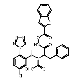 O=CC(=O)N(Nc1cc(Cl)ccc1-n1cnnn1)C(Cc1ccccc1)C(=O)NOC(=O)c1cc2ccccc2o1